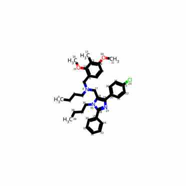 CCCCN(Cc1ccc(OC)c(C)c1OC)Cc1c(-c2ccc(Cl)cc2)nc(-c2ccccc2)n1CCCC